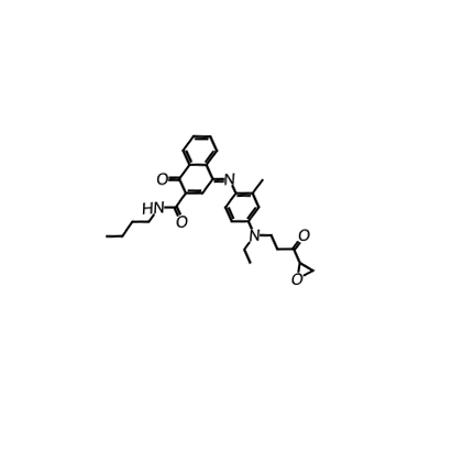 CCCCNC(=O)C1=CC(=Nc2ccc(N(CC)CCC(=O)C3CO3)cc2C)c2ccccc2C1=O